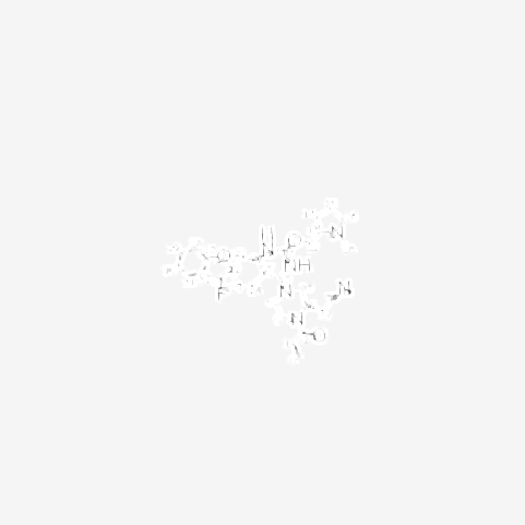 C=CC(=O)N1CCN(C2NC(OCC3CCCN3C)NC3C[C@@]4(CCC32)Oc2ccccc2C4F)CC1CC#N